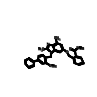 COC(=O)c1ccccc1COc1cc(C)c2nc(C)n(Cc3ccc(-c4ccccc4)cc3OC)c2c1